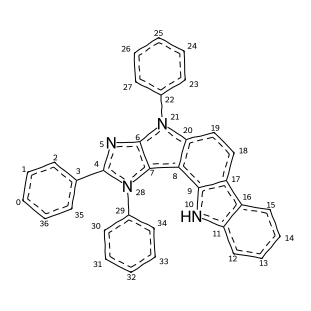 c1ccc(-c2nc3c(c4c5[nH]c6ccccc6c5ccc4n3-c3ccccc3)n2-c2ccccc2)cc1